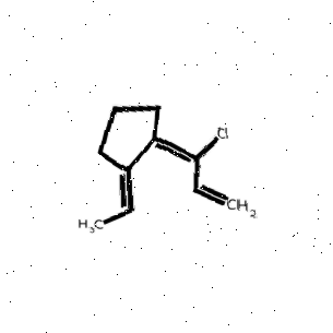 C=C/C(Cl)=C1/CCC/C1=C\C